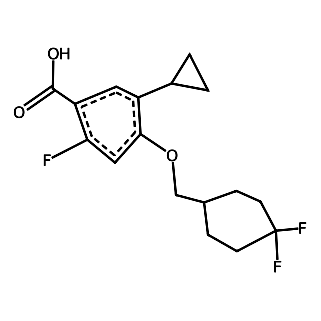 O=C(O)c1cc(C2CC2)c(OCC2CCC(F)(F)CC2)cc1F